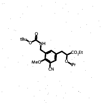 CCOC(=O)C(Cc1cc(C#N)c(OC)c(CNC(=O)OC(C)(C)C)c1)OC(C)C